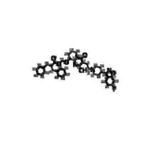 Cc1nc2n(c(=O)c1CCN1CCC(c3noc4cc(F)ccc34)CC1)CCCC2OCOC(=O)C(Cc1ccccc1)Cc1ccccc1